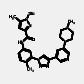 Cc1ccc(NC(=O)c2cc(C)n(C(C)(C)C)n2)cc1-n1cc(-c2cncc(N3CCN(C)CC3)c2)nn1